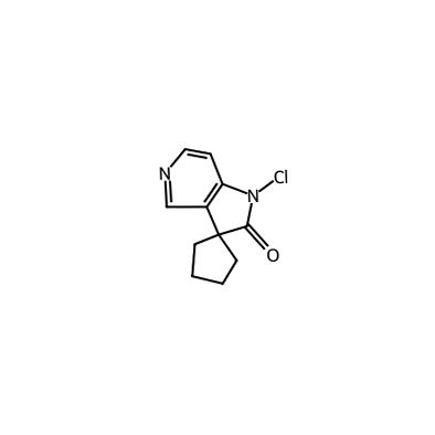 O=C1N(Cl)c2ccncc2C12CCCC2